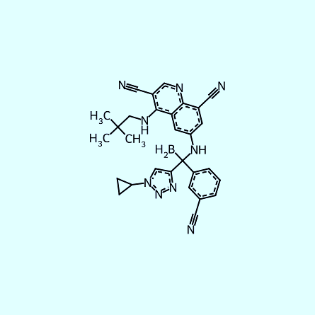 BC(Nc1cc(C#N)c2ncc(C#N)c(NCC(C)(C)C)c2c1)(c1cccc(C#N)c1)c1cn(C2CC2)nn1